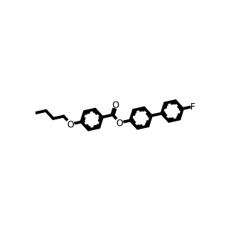 CCCCOc1ccc(C(=O)Oc2ccc(-c3ccc(F)cc3)cc2)cc1